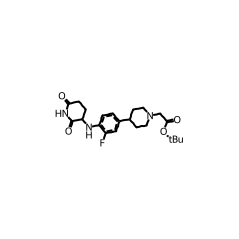 CC(C)(C)OC(=O)CN1CCC(c2ccc(NC3CCC(=O)NC3=O)c(F)c2)CC1